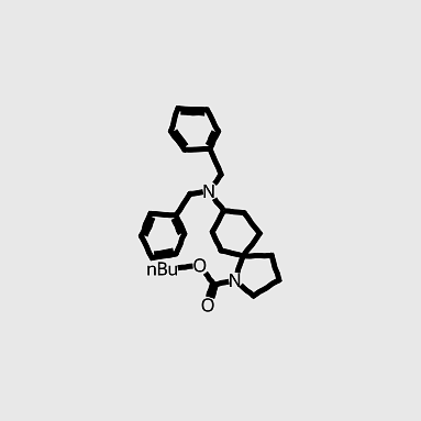 CCCCOC(=O)N1CCCC12CCC(N(Cc1ccccc1)Cc1ccccc1)CC2